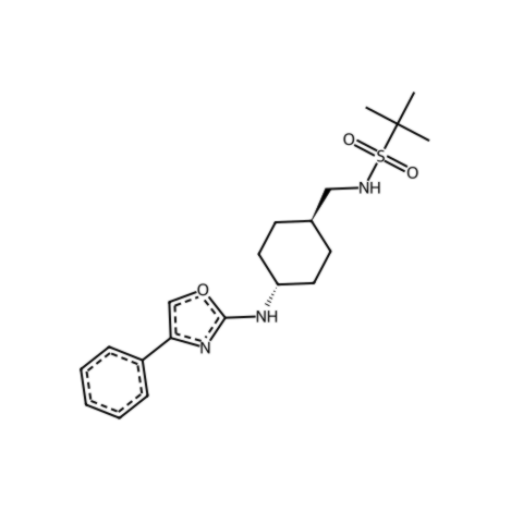 CC(C)(C)S(=O)(=O)NC[C@H]1CC[C@H](Nc2nc(-c3ccccc3)co2)CC1